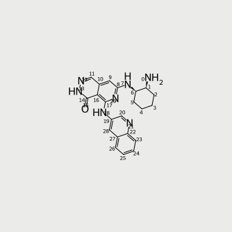 N[C@H]1CCCC[C@H]1Nc1cc2cn[nH]c(=O)c2c(Nc2cnc3ccccc3c2)n1